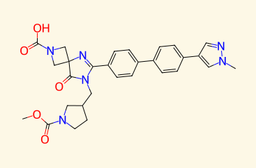 COC(=O)N1CCC(CN2C(=O)C3(CN(C(=O)O)C3)N=C2c2ccc(-c3ccc(-c4cnn(C)c4)cc3)cc2)C1